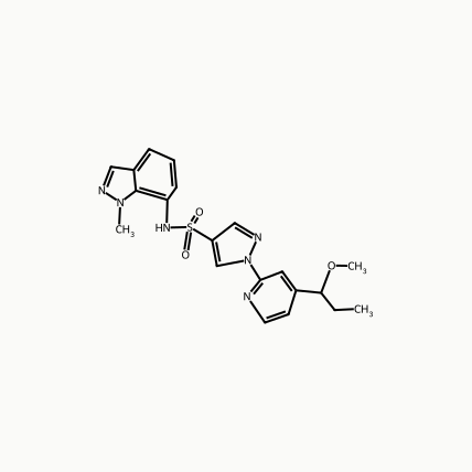 CCC(OC)c1ccnc(-n2cc(S(=O)(=O)Nc3cccc4cnn(C)c34)cn2)c1